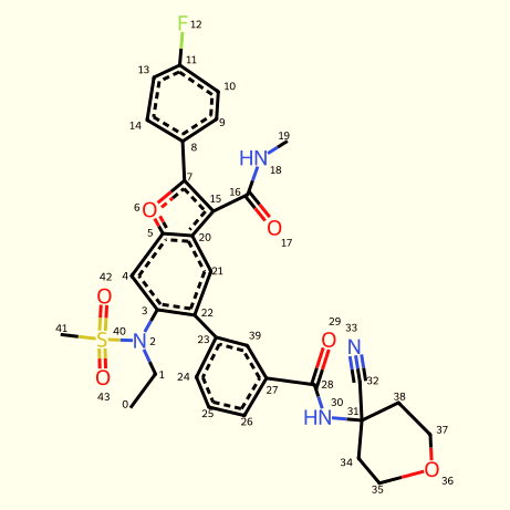 CCN(c1cc2oc(-c3ccc(F)cc3)c(C(=O)NC)c2cc1-c1cccc(C(=O)NC2(C#N)CCOCC2)c1)S(C)(=O)=O